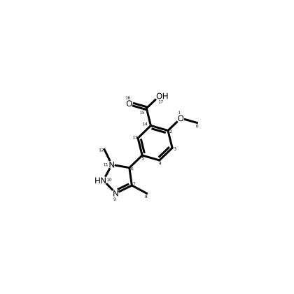 COc1ccc(C2C(C)=NNN2C)cc1C(=O)O